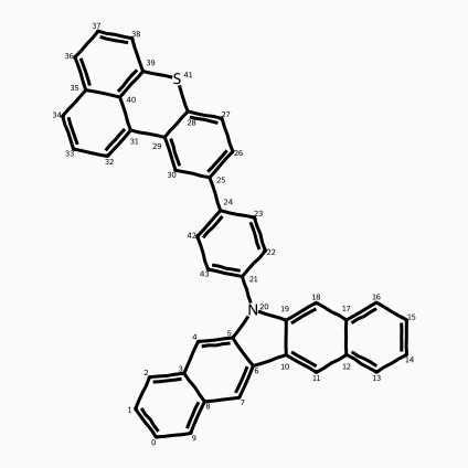 c1ccc2cc3c(cc2c1)c1cc2ccccc2cc1n3-c1ccc(-c2ccc3c(c2)-c2cccc4cccc(c24)S3)cc1